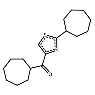 O=C(c1csc(C2CCCCCC2)n1)C1CCCCCC1